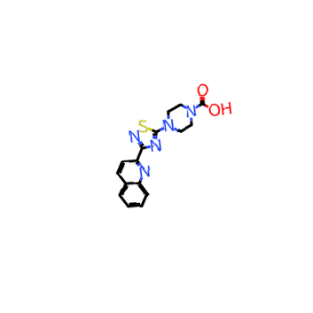 O=C(O)N1CCN(c2nc(-c3ccc4ccccc4n3)ns2)CC1